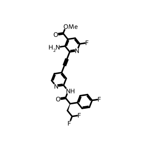 COC(=O)c1cc(F)nc(C#Cc2ccnc(NC(=O)[C@H](CC(F)F)c3ccc(F)cc3)c2)c1N